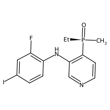 CC[P@](C)(=O)c1ccncc1Nc1ccc(I)cc1F